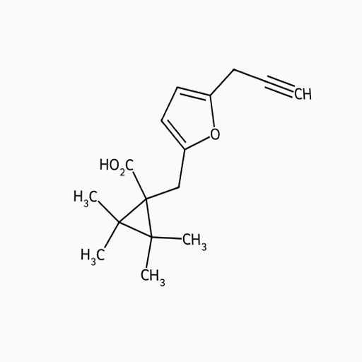 C#CCc1ccc(CC2(C(=O)O)C(C)(C)C2(C)C)o1